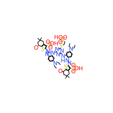 CCN(CC)c1ccc(/N=N/c2sc3c(c2S(=O)(=O)O)CC(C)(C)CC3=O)c(Nc2nc(Nc3cc(N(CC)CC)ccc3/N=N/c3sc4c(c3S(=O)(=O)O)CC(C)(C)CC4=O)nc(SCCS(=O)(=O)O)n2)c1